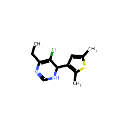 CCC1=C(Cl)C(c2cc(C)sc2C)NC=N1